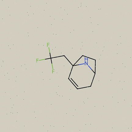 FC(F)(F)CC12C=CCC(CC1)N2